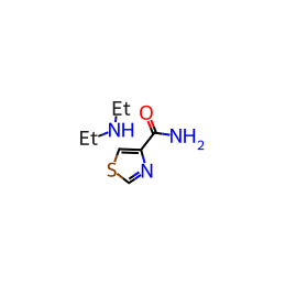 CCNCC.NC(=O)c1cscn1